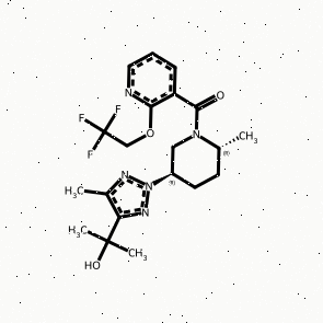 Cc1nn([C@@H]2CC[C@@H](C)N(C(=O)c3cccnc3OCC(F)(F)F)C2)nc1C(C)(C)O